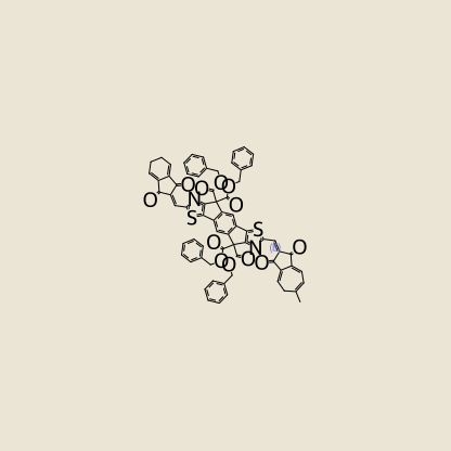 CC1=CC=C2C(=O)/C(=C/c3nc4c(s3)-c3cc5c(cc3C4(C(=O)OCc3ccccc3)C(=O)OCc3ccccc3)-c3sc(C=C4C(=O)C6=CCCC=C6C4=O)nc3C5(C(=O)OCc3ccccc3)C(=O)OCc3ccccc3)C(=O)C2=CC1